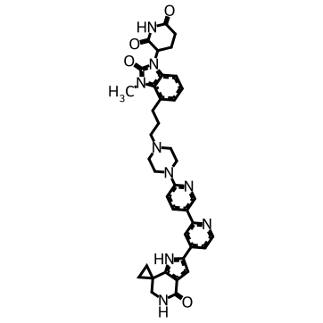 Cn1c(=O)n(C2CCC(=O)NC2=O)c2cccc(CCCN3CCN(c4ccc(-c5cc(-c6cc7c([nH]6)C6(CC6)CNC7=O)ccn5)cn4)CC3)c21